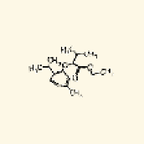 CCOC(=O)C(Oc1cc(C)ccc1C(C)C)C(C)C